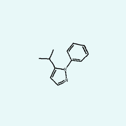 CC(C)c1ccnn1-c1ccccc1